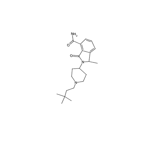 CC1c2cccc(C(N)=O)c2C(=O)N1C1CCN(CCC(C)(C)C)CC1